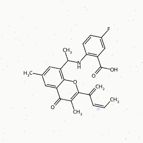 C=C(/C=C\C)c1oc2c(C(C)Nc3ccc(F)cc3C(=O)O)cc(C)cc2c(=O)c1C